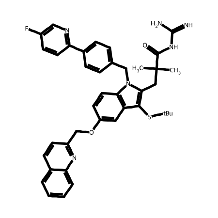 CC(C)(C)Sc1c(CC(C)(C)C(=O)NC(=N)N)n(Cc2ccc(-c3ccc(F)cn3)cc2)c2ccc(OCc3ccc4ccccc4n3)cc12